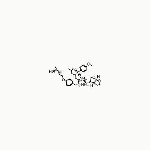 COc1ccc(S(=O)(=O)N(CC(C)C)C[C@@H](N)[C@H](Cc2ccc(OCCNB(C)O)cc2)NC(=O)O[C@H]2CO[C@H]3OCC[C@H]32)cc1